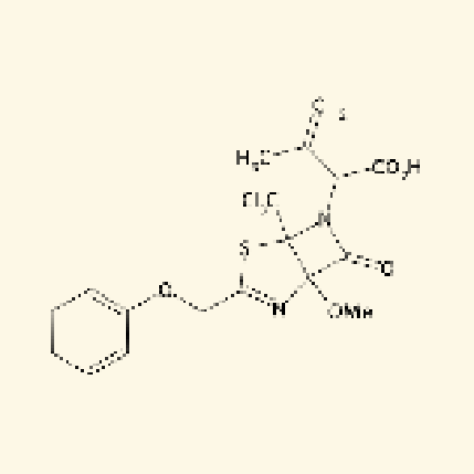 C=C(C)C(C(=O)O)N1C(=O)C2(OC)N=C(COc3ccccc3)SC12C(Cl)(Cl)Cl